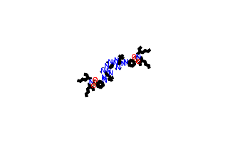 CCCCC(CC)CN(CC(CC)CCCC)S(=O)(=O)c1cccc(/N=N/c2c(C(C)(C)C)nn(-c3cc(-n4nc(C(C)(C)C)c(/N=N/c5cccc(S(=O)(=O)N(CC(CC)CCCC)CC(CC)CCCC)c5)c4N(C)C)ncn3)c2N(C)C)c1